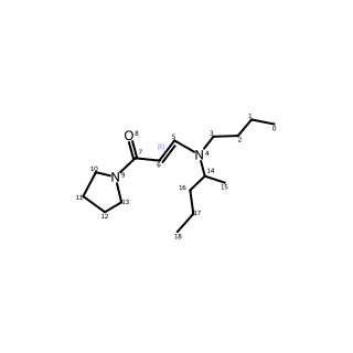 CCCCN(/C=C/C(=O)N1CCCC1)C(C)CCC